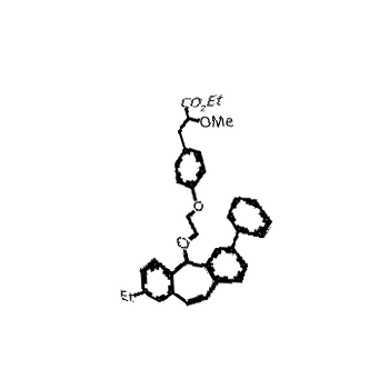 CCOC(=O)C(Cc1ccc(OCCOC2c3ccc(CC)cc3C=Cc3ccc(-c4ccccc4)cc32)cc1)OC